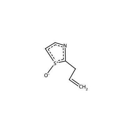 C=CCc1ncc[s+]1[O-]